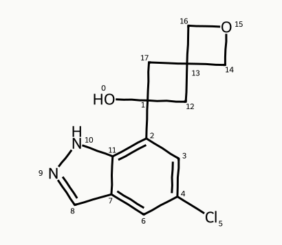 OC1(c2cc(Cl)cc3cn[nH]c23)CC2(COC2)C1